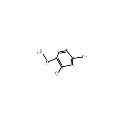 CCCOc1ccc(F)cc1C(C)C